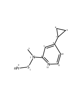 CCCSN(C)c1cc(C2CC2)ccn1